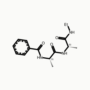 CCNC(=O)[C@H](C)NC(=O)[C@H](C)NC(=O)c1ccccc1